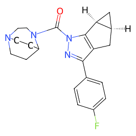 O=C(N1CCN2CCC1CC2)n1nc(-c2ccc(F)cc2)c2c1[C@H]1C[C@H]1C2